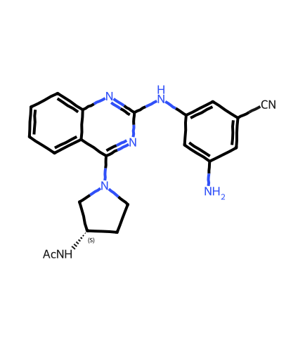 CC(=O)N[C@H]1CCN(c2nc(Nc3cc(N)cc(C#N)c3)nc3ccccc23)C1